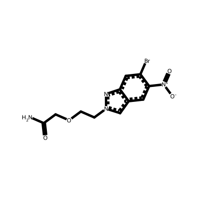 NC(=O)COCCn1cc2cc([N+](=O)[O-])c(Br)cc2n1